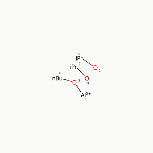 CC(C)[O-].CC(C)[O-].CCCC[O][Al+2]